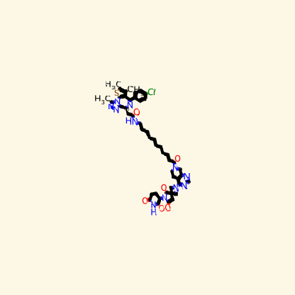 Cc1sc2c(c1C)C(c1ccc(Cl)cc1)=N[C@@H](CC(=O)NCCCCCCCCCCC(=O)N1CCc3c(ncnc3N3CC4(CC(=O)N(C5CCC(=O)NC5=O)C4=O)C3)C1)c1nnc(C)n1-2